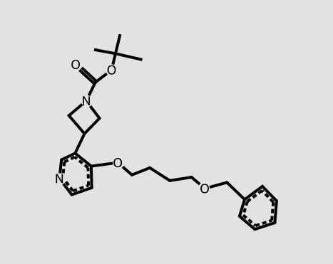 CC(C)(C)OC(=O)N1CC(c2cnccc2OCCCCOCc2ccccc2)C1